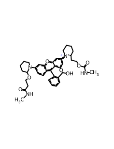 CNC(=O)CCOC1CCCCN1c1ccc2c(-c3ccccc3C(=O)O)c3cc/c(=[N+]4/CCCCC4CCOC(=O)NC)cc-3oc2c1